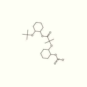 CC(C)(C)OC1CCCCC1OC(=O)C(C)(C)OC1CCCCC1O[N+](=O)[O-]